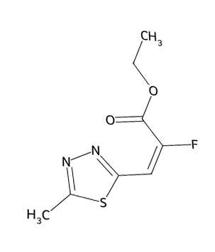 CCOC(=O)/C(F)=C\c1nnc(C)s1